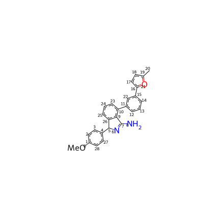 COc1ccc(C2N=C(N)c3c(-c4cccc(-c5ccc(C)o5)c4)cccc32)cc1